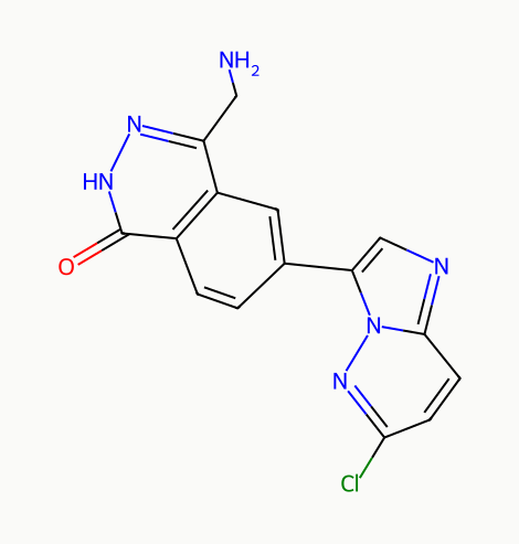 NCc1n[nH]c(=O)c2ccc(-c3cnc4ccc(Cl)nn34)cc12